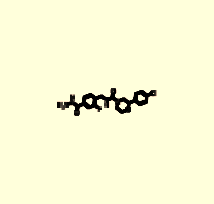 NNC(=O)c1ccc(CNC(=O)N2CCOC(c3ccc(Cl)cc3)C2)c(F)c1